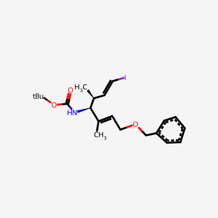 C/C(=C\COCc1ccccc1)[C@@H](NC(=O)OC(C)(C)C)[C@@H](C)/C=C/I